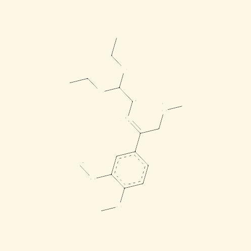 CCOC(CN=C(COC)c1ccc(OC)c(OC)c1)OCC